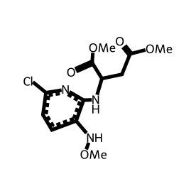 CONc1ccc(Cl)nc1NC(CC(=O)OC)C(=O)OC